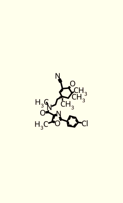 Cc1oc(-c2ccc(Cl)cc2)nc1C(=O)N(C)CC[C@]1(C)C=C(C#N)C(=O)C(C)(C)C1